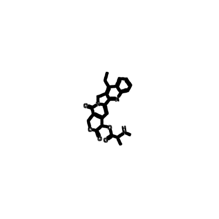 CCc1c2c(nc3ccccc13)-c1cc3c(c(=O)n1C2)COC(=O)C3OC(=O)C(C)NC